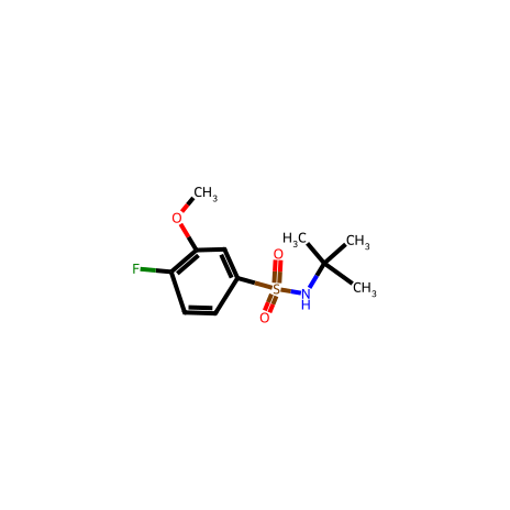 COc1cc(S(=O)(=O)NC(C)(C)C)ccc1F